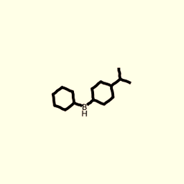 CC(C)C1CCC(BC2CCCCC2)CC1